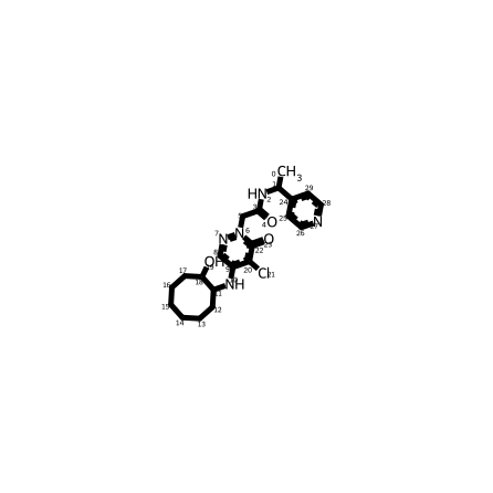 CC(NC(=O)Cn1ncc(NC2CCCCCCC2O)c(Cl)c1=O)c1ccncc1